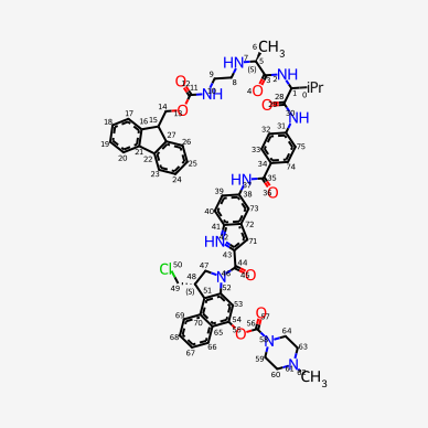 CC(C)C(NC(=O)[C@H](C)NCCNC(=O)OCC1c2ccccc2-c2ccccc21)C(=O)Nc1ccc(C(=O)Nc2ccc3[nH]c(C(=O)N4C[C@@H](CCl)c5c4cc(OC(=O)N4CCN(C)CC4)c4ccccc54)cc3c2)cc1